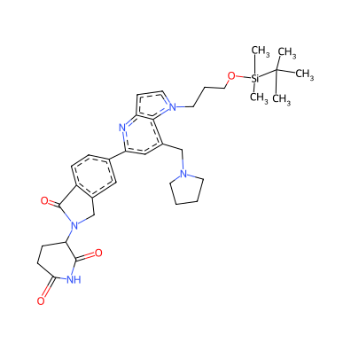 CC(C)(C)[Si](C)(C)OCCCn1ccc2nc(-c3ccc4c(c3)CN(C3CCC(=O)NC3=O)C4=O)cc(CN3CCCC3)c21